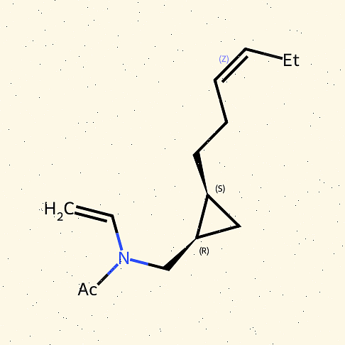 C=CN(C[C@@H]1C[C@@H]1CC/C=C\CC)C(C)=O